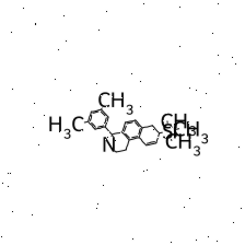 Cc1cc(C)cc(C2=NCCc3c2ccc2c3C=CC([Si](C)(C)C)C2)c1